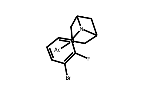 CC(=O)N1CC2CC(C1)N2c1cccc(Br)c1F